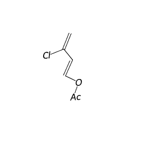 C=C(Cl)/C=C/OC(C)=O